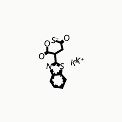 O=C([S-])CC(C(=O)[O-])c1nc2ccccc2s1.[K+].[K+]